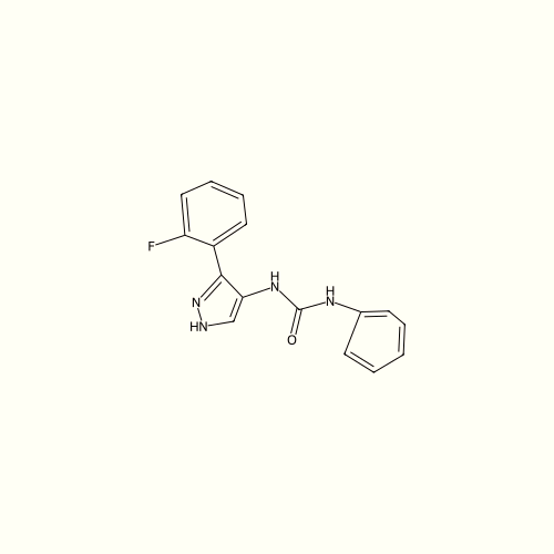 O=C(Nc1ccccc1)Nc1c[nH]nc1-c1ccccc1F